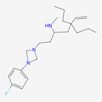 C=CC(CCC)(CCC)CC(CCN1CN(c2ccc(F)cc2)C1)NC